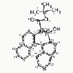 CN(C(=O)OC(C)(C)C)c1ccc2ccccc2c1-c1c(C(=O)O)ccc2ccccc12